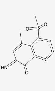 CC1=CC(=N)C(=O)c2cccc(S(C)(=O)=O)c21